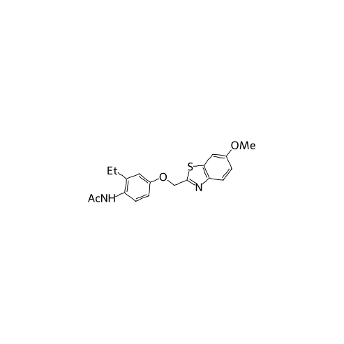 CCc1cc(OCc2nc3ccc(OC)cc3s2)ccc1NC(C)=O